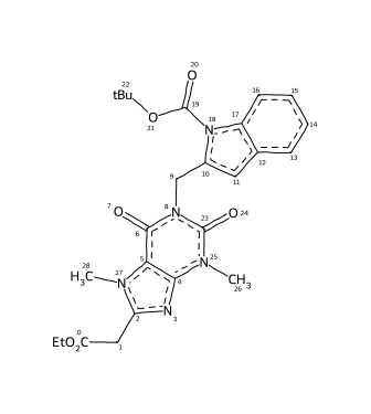 CCOC(=O)Cc1nc2c(c(=O)n(Cc3cc4ccccc4n3C(=O)OC(C)(C)C)c(=O)n2C)n1C